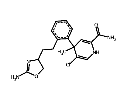 CC1(c2ccccc2CCC2COC(N)=N2)C=C(C(N)=O)NC=C1Cl